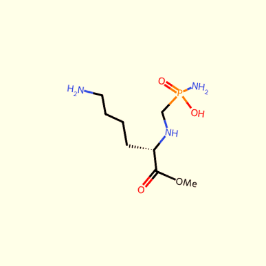 COC(=O)[C@H](CCCCN)NCP(N)(=O)O